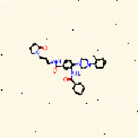 Cc1ccccc1N1CCN(c2ccc(C(=O)NCCCN3CCCC3=O)cc2NC(=O)C2CCCCC2)CC1